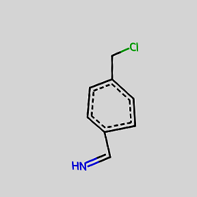 N=Cc1ccc(CCl)cc1